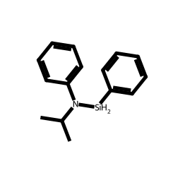 CC(C)N([SiH2]c1ccccc1)c1ccccc1